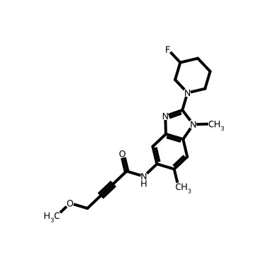 COCC#CC(=O)Nc1cc2nc(N3CCCC(F)C3)n(C)c2cc1C